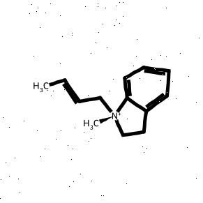 CC=CC[N@@+]1(C)CCc2ccccc21